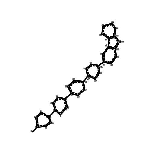 Cc1ccc(-c2ccc(-c3ccc(-c4ccc(-c5ccc6oc7ccccc7c6c5)cc4)cc3)cc2)cc1